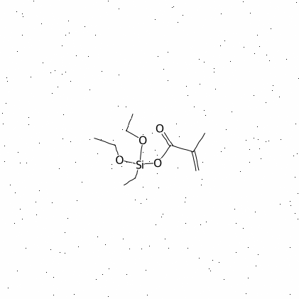 C=C(C)C(=O)O[Si](CC)(OCC)OCC